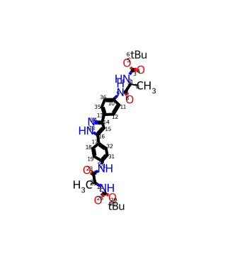 C[C@H](NC(=O)OC(C)(C)C)C(=O)Nc1ccc(-c2cc(-c3ccc(NC(=O)[C@H](C)NC(=O)OC(C)(C)C)cc3)[nH]n2)cc1